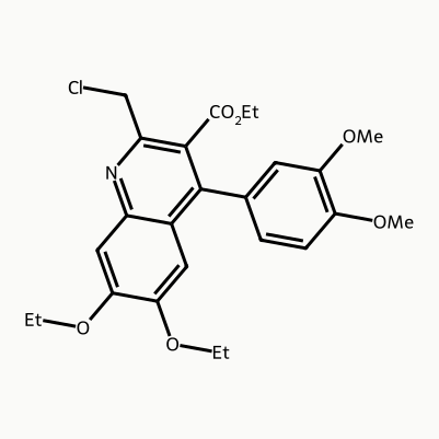 CCOC(=O)c1c(CCl)nc2cc(OCC)c(OCC)cc2c1-c1ccc(OC)c(OC)c1